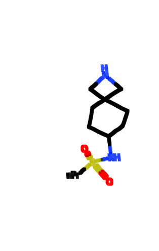 CCCS(=O)(=O)NC1CCC2(CC1)CNC2